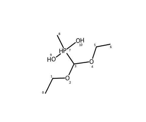 CCOC(OCC)[PH](C)(O)O